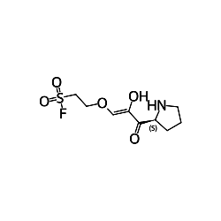 O=C(C(O)=COCCS(=O)(=O)F)[C@@H]1CCCN1